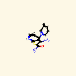 CC1CCCN(c2ccnc3sc(C(N)=O)c(N)c23)C1